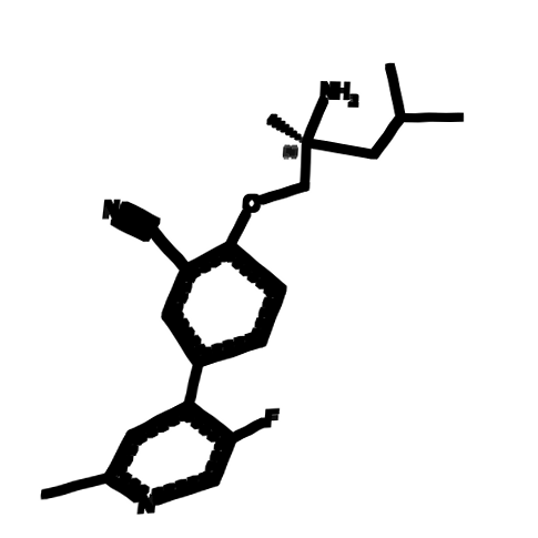 Cc1cc(-c2ccc(OC[C@@](C)(N)CC(C)C)c(C#N)c2)c(F)cn1